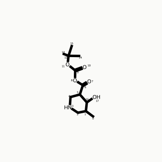 CC1CNCC(C(=O)OC(=O)OC(C)(C)C)C1O